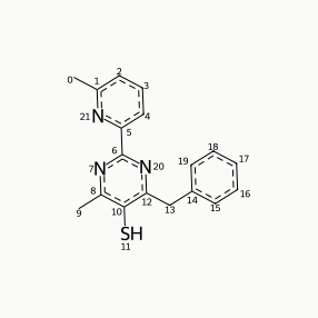 Cc1cccc(-c2nc(C)c(S)c(Cc3ccccc3)n2)n1